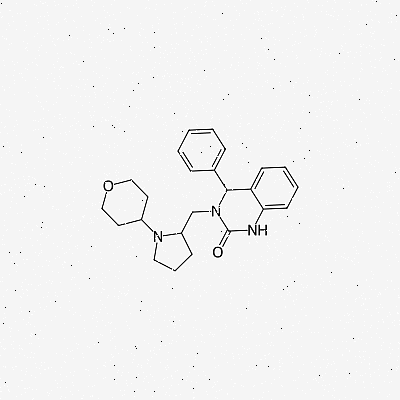 O=C1Nc2ccccc2C(c2ccccc2)N1CC1CCCN1C1CCOCC1